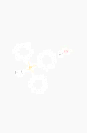 C[P+](c1ccccc1)(c1ccccc1)c1ccccc1.[Ar].[Br-]